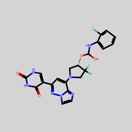 O=c1[nH]cc(-c2cc(N3C[C@H](OC(O)Nc4ccccc4F)C(F)(F)C3)c3nccn3n2)c(=O)[nH]1